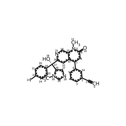 C#Cc1cccc(-c2cc(=O)n(C)c3cnc([C@](O)(c4ccc(I)cc4)c4cncn4C)cc23)c1